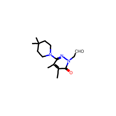 Cc1c(N2CCC(C)(C)CC2)nn(CC=O)c(=O)c1C